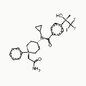 C[C@](O)(c1ccc(C(=O)N(C2CC2)[C@H]2CC[C@@](CC(N)=O)(c3ccccc3)CC2)cc1)C(F)(F)F